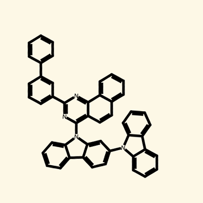 c1ccc(-c2cccc(-c3nc(-n4c5ccccc5c5ccc(-n6c7ccccc7c7ccccc76)cc54)c4ccc5ccccc5c4n3)c2)cc1